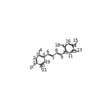 Cc1cc(C)c(/C=C/C=C/c2cc(C)c(C)cc2C)cc1C